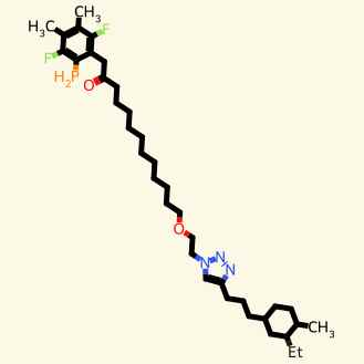 CCC1CC(CCCc2cn(CCOCCCCCCCCCCCC(=O)Cc3c(F)c(C)c(C)c(F)c3P)nn2)CCC1C